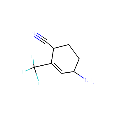 N#CC1CCC(N)C=C1C(F)(F)F